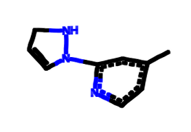 Cc1ccnc(N2C=CCN2)c1